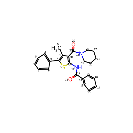 Cc1c(-c2ccccc2)sc(NC(=O)c2ccccc2)c1C(=O)N1CCCCC1